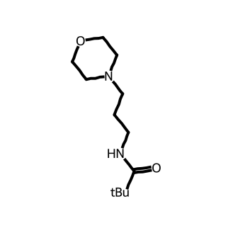 CC(C)(C)C(=O)NCCCN1CCOCC1